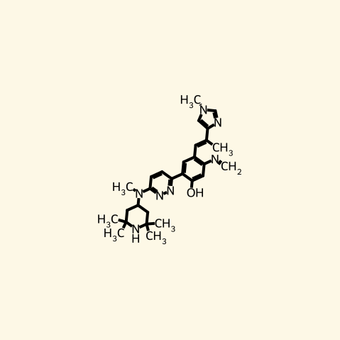 C=Nc1cc(O)c(-c2ccc(N(C)C3CC(C)(C)NC(C)(C)C3)nn2)cc1/C=C(\C)c1cn(C)cn1